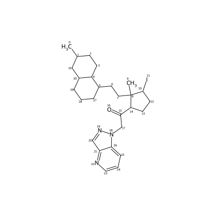 CC1CCC2C(CCC3(C)C(I)CCC3C(=O)Cn3ncc4ncccc43)CCCC2C1